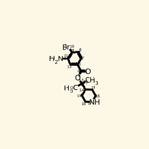 CC(C)(OC(=O)c1ccc(Br)c(N)c1)C1CCNCC1